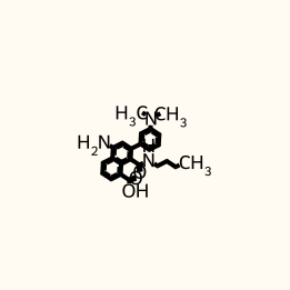 CCCCNC(=O)c1c(-c2cccc(N(C)C)c2)cc(N)c2cccc(C(=O)O)c12